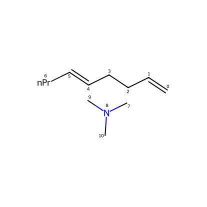 C=CCCC=CCCC.CN(C)C